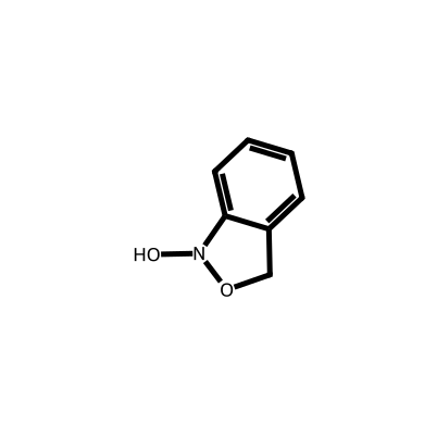 ON1OCc2ccccc21